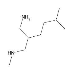 CNCC(CN)CCC(C)C